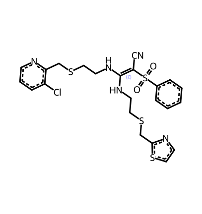 N#C/C(=C(/NCCSCc1nccs1)NCCSCc1ncccc1Cl)S(=O)(=O)c1ccccc1